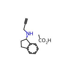 C#CCN[C@@H]1CCc2ccccc21.CC(=O)O